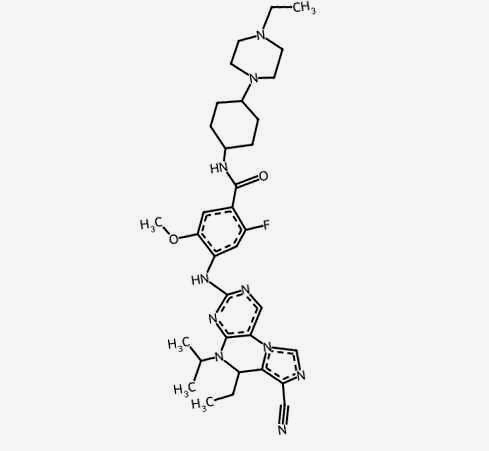 CCC1c2c(C#N)ncn2-c2cnc(Nc3cc(F)c(C(=O)NC4CCC(N5CCN(CC)CC5)CC4)cc3OC)nc2N1C(C)C